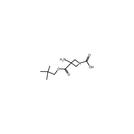 CC(C)(C)COC(=O)C1(N)CN(C(=O)O)C1